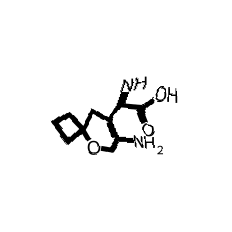 N=C(C(=O)O)C1=C(N)COC2(CCC2)C1